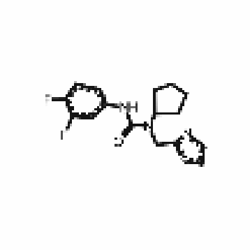 O=C(Nc1ccc(F)c(F)c1)N(Cc1nccs1)C1CCCC1